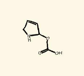 O=C(O)OC1C=CCN1